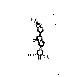 Cc1nc2ncc(-c3cc(=O)n4cc(N5C[C@@H](C)N[C@@H](C)C5)ccc4n3)cn2n1